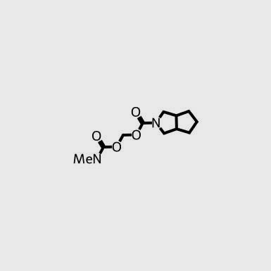 CNC(=O)OCOC(=O)N1CC2CCCC2C1